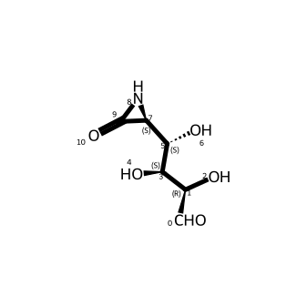 O=C[C@H](O)[C@@H](O)[C@@H](O)[C@@H]1NC1=O